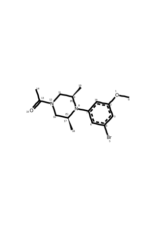 COc1cc(Br)cc(N2[C@H](C)CN(C(C)=O)C[C@@H]2C)c1